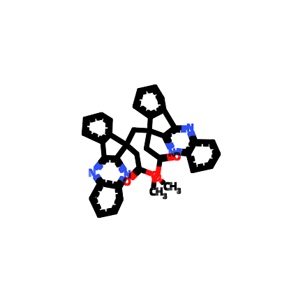 COC(=O)CC1(CC2(CC(=O)OC)c3ccccc3-c3nc4ccccc4nc32)c2ccccc2-c2nc3ccccc3nc21